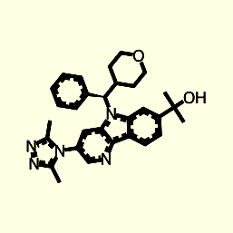 Cc1nnc(C)n1-c1cnc2c3ccc(C(C)(C)O)cc3n([C@@H](c3ccccc3)C3CCOCC3)c2c1